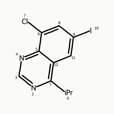 CC(C)c1ncnc2c(Cl)cc(I)cc12